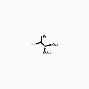 CCCCCCCCP(CCCCCCCC)C(CCC)CCC